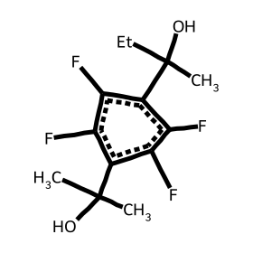 CCC(C)(O)c1c(F)c(F)c(C(C)(C)O)c(F)c1F